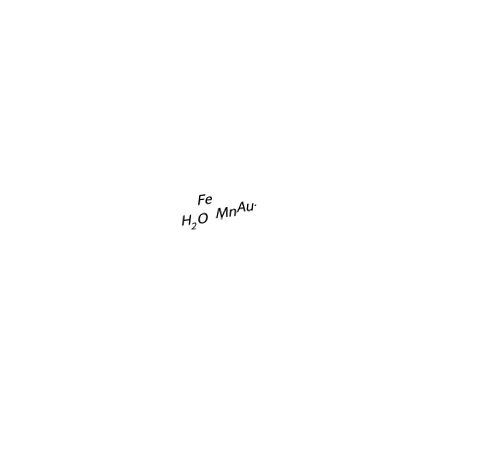 O.[Au].[Fe].[Mn]